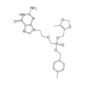 CC1=C(COP(=O)(COCCn2cnc3c(=O)[nH]c(N)nc32)OCc2ccc(C)cc2)OCO1